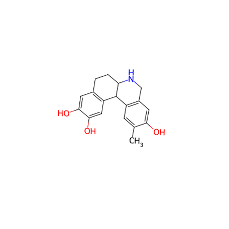 Cc1cc2c(cc1O)CNC1CCc3cc(O)c(O)cc3C21